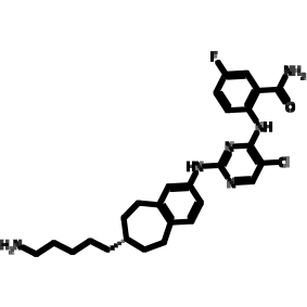 NCCCCC[C@H]1CCc2ccc(Nc3ncc(Cl)c(Nc4ccc(F)cc4C(N)=O)n3)cc2CC1